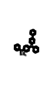 CN(c1ccccc1)c1ccc(N(C2=CCCC=C2)c2ccc(-c3ccccc3)cc2)cc1